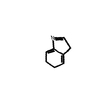 C1=NC2=CCCC=C2C1